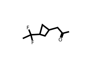 CC(=O)CC1CC(C(C)(F)F)C1